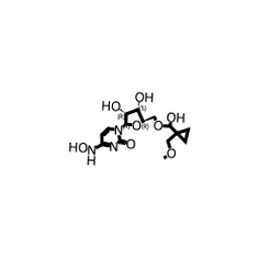 COCC1(C(O)OC[C@H]2O[C@@H](n3ccc(NO)nc3=O)[C@H](O)[C@@H]2O)CC1